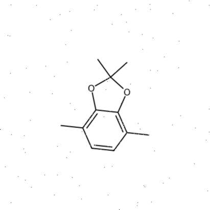 Cc1ccc(C)c2c1OC(C)(C)O2